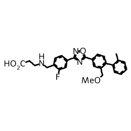 COCc1cc(-c2nc(-c3ccc(CNCCC(=O)O)c(F)c3)no2)ccc1-c1ccccc1C